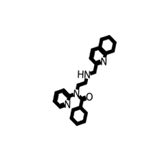 O=C(C1CCCCC1)N(CCNCc1ccc2c(n1)CCCC2)c1ccccn1